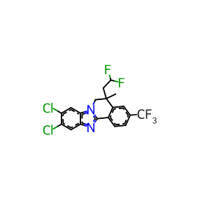 CC1(CC(F)F)Cn2c(nc3cc(Cl)c(Cl)cc32)-c2ccc(C(F)(F)F)cc21